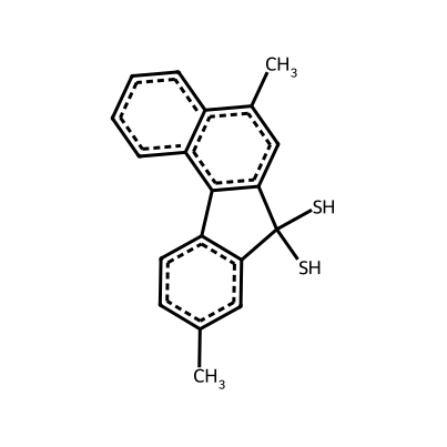 Cc1ccc2c(c1)C(S)(S)c1cc(C)c3ccccc3c1-2